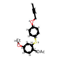 CC#CCOc1ccc(Sc2cc(OCC)ccc2OC(C)=O)cc1